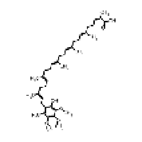 COc1c(C)c(C/C=C(\C)CC/C=C(\C)CC/C=C(\C)CC/C=C(\C)CC/C=C(\C)CC/C=C(/C)C(=O)O)c(O)c(OC)c1OC